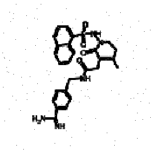 CC1=C(CC(=O)NCc2ccc(C(=N)N)cc2)C(=O)N(NS(=O)(=O)c2cccc3ccccc23)CC1